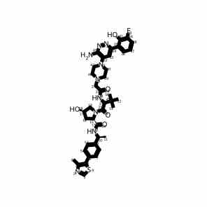 Cc1ncsc1-c1ccc([C@H](C)NC(=O)[C@@H]2C[C@@H](O)CN2C(=O)C(NC(=O)CN2CCN(c3cc(-c4cccc(F)c4O)nnc3N)CC2)C(C)(C)C)cc1